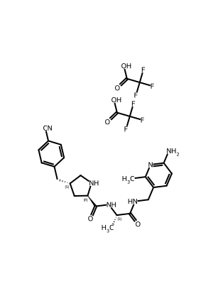 Cc1nc(N)ccc1CNC(=O)[C@H](C)NC(=O)[C@H]1C[C@H](Cc2ccc(C#N)cc2)CN1.O=C(O)C(F)(F)F.O=C(O)C(F)(F)F